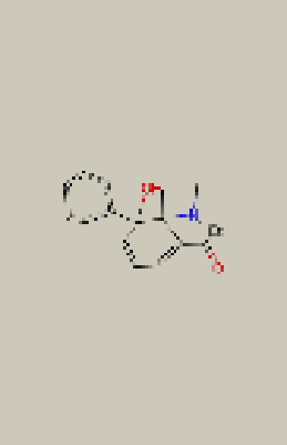 CCC(=O)C1=CC=CC(O)(c2ccccc2)C1(C)N(C)C